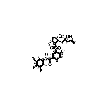 C=CC[C@@](O)(CC)C[C@@H]1CC[C@@H](C)C1S(=O)(=O)c1cc(C(=O)Nc2cc(F)c(F)c(F)c2)ccc1Cl